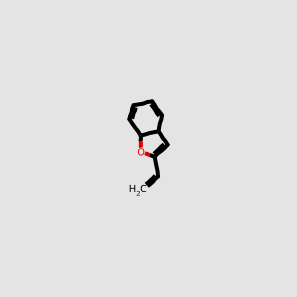 C=CC1=CC2C=CC=CC2O1